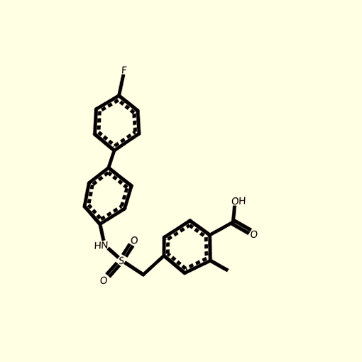 Cc1cc(CS(=O)(=O)Nc2ccc(-c3ccc(F)cc3)cc2)ccc1C(=O)O